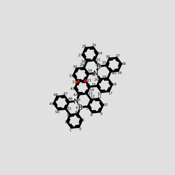 c1ccc2c(c1)B1c3ccccc3-c3c(-c4cccc5c4N4B(c6ccccc6-c6ccccc64)c4ccccc4-5)cccc3N1c1ccccc1-2